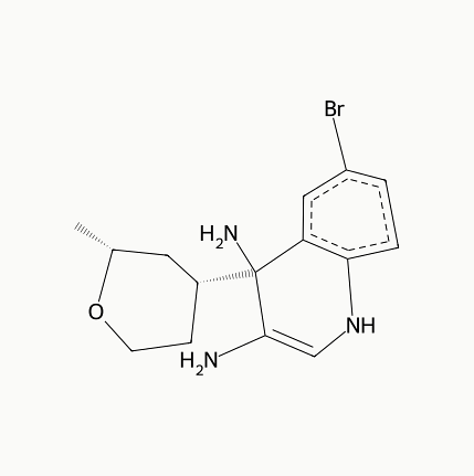 C[C@@H]1C[C@H](C2(N)C(N)=CNc3ccc(Br)cc32)CCO1